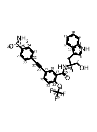 C[C@](CO)(Cc1c[nH]c2ccccc12)NC(=O)c1cc(C#Cc2ccc([S+](N)[O-])cc2)ccc1OC(F)(F)F